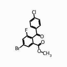 COC(=O)c1cc(Br)cc(F)c1C(=O)c1ccc(Cl)cc1